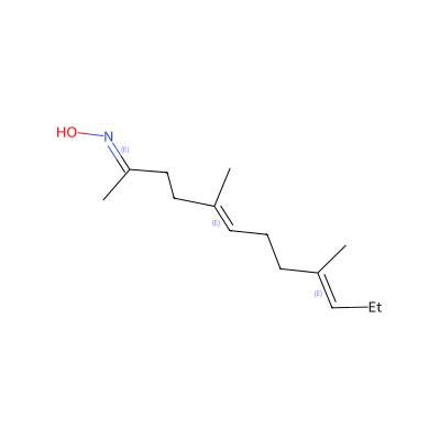 CC/C=C(\C)CC/C=C(\C)CC/C(C)=N/O